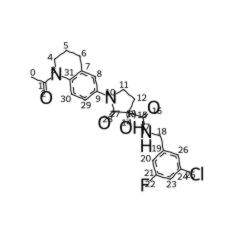 CC(=O)N1CCCc2cc(N3CC[C@@](O)(C(=O)NCc4cc(F)cc(Cl)c4)C3=O)ccc21